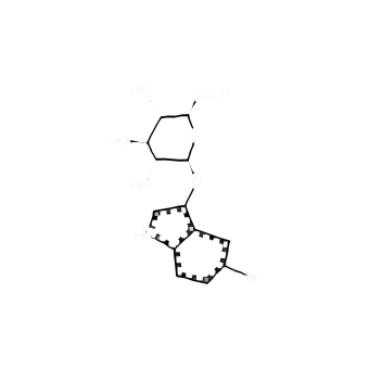 O=C(O)[C@H]1O[C@@H](Oc2c[nH]c3ccc(Br)cc23)[C@H](O)[C@@H](O)[C@@H]1O